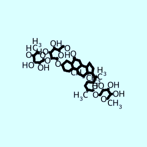 CC1CCC(C(C)C2CCC3C4CC(=O)C5CC(OC6OC(CO)C(O)C(O)C6OC6OC(C)C(O)C(O)C6O)CCC5(C)C4CCC23C)OC1OC1OC(C)C(O)C(O)C1O